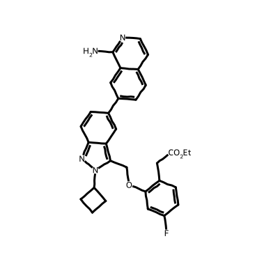 CCOC(=O)Cc1ccc(F)cc1OCc1c2cc(-c3ccc4ccnc(N)c4c3)ccc2nn1C1CCC1